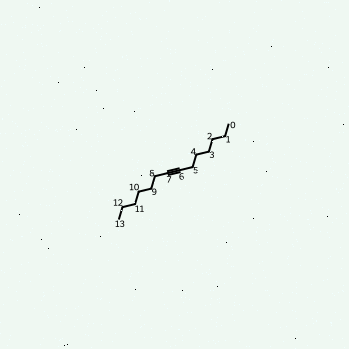 CCCCCCC#CCCCCCC